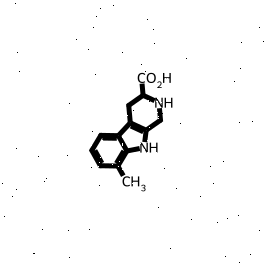 Cc1cccc2c3c([nH]c12)CNC(C(=O)O)C3